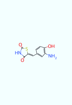 Nc1cc(/C=C2\SC(=O)NC2=O)ccc1O